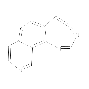 C1=Cc2ccc3ccncc3c2N=CN=1